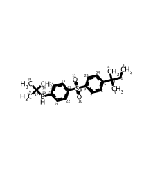 CCC(C)(C)c1ccc(S(=O)(=O)c2ccc(BC(C)(C)C)cc2)cc1